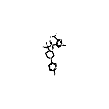 Cn1cc(S(=O)(=O)[C@@](C)(F)C2CCN(c3ccc(F)nc3)CC2)c(C(F)F)n1